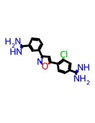 N=C(N)c1cccc(-c2cc(-c3ccc(C(=N)N)cc3Cl)on2)c1